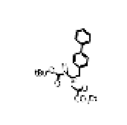 CCOC(=O)C(=O)C[C@@H](Cc1ccc(-c2ccccc2)cc1)NC(=O)OC(C)(C)C